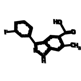 Cc1cc2[nH]nc(-c3cccc(F)c3)c2cc1C(=O)O